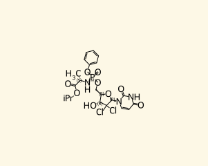 CC(C)OC(=O)[C@H](C)N[P@](=O)(OC[C@H]1O[C@@H](n2ccc(=O)[nH]c2=O)C(Cl)(Cl)[C@@H]1O)Oc1ccccc1